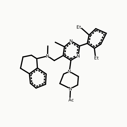 CCc1cccc(CC)c1-c1nc(C)c(CN(C)C2CCCc3ccccc32)c(N2CCN(C(C)=O)CC2)n1